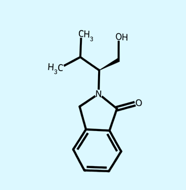 CC(C)[C@@H](CO)N1Cc2ccccc2C1=O